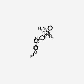 CC(CCN)(NC(=O)C1(F)CCN(c2nccc(-c3ccc(OCCF)cc3)n2)CC1)C1CCCCC1